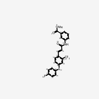 COC(=O)c1cccc(NC(=O)/C=C/c2ccc(Sc3ccc(F)cc3)cc2C(F)(F)F)c1